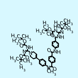 CN(C(=O)c1ccc(C(=O)Nc2ccc(CN/C(=N/C(=O)OC(C)(C)C)NC(=O)OC(C)(C)C)cc2)cc1)c1ccc(C2=CCN(/C(=N\C(=O)OC(C)(C)C)NC(=O)OC(C)(C)C)CC2)cc1